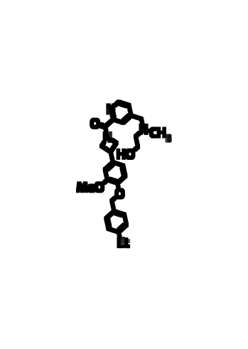 CCc1ccc(COc2ccc(C3CN(C(=O)c4cc(CN(C)CCO)ccn4)C3)cc2OC)cc1